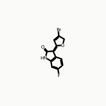 O=C1Nc2cc(F)ccc2C1=C1C=C(Br)CO1